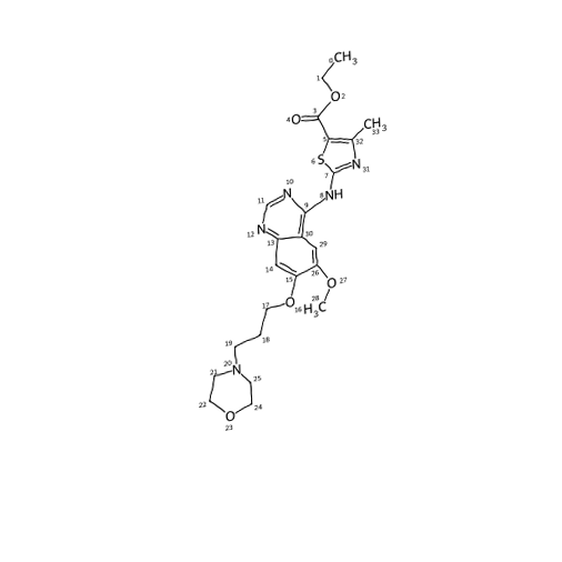 CCOC(=O)c1sc(Nc2ncnc3cc(OCCCN4CCOCC4)c(OC)cc23)nc1C